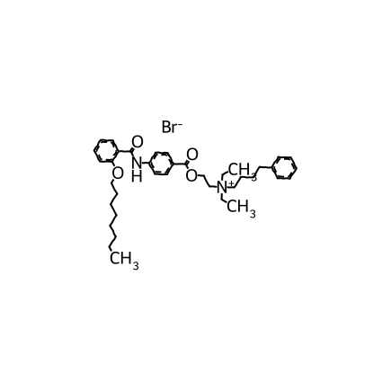 CCCCCCCCOc1ccccc1C(=O)Nc1ccc(C(=O)OCC[N+](CC)(CC)CCCCc2ccccc2)cc1.[Br-]